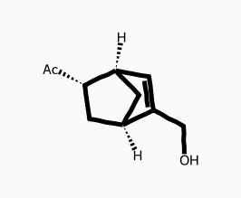 CC(=O)[C@H]1C[C@H]2C[C@@H]1C=C2CO